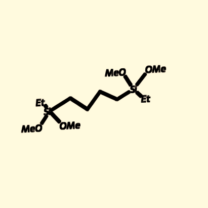 CC[Si](CCCC[Si](CC)(OC)OC)(OC)OC